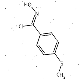 CSc1ccc(C(Cl)=NO)cc1